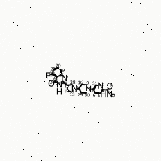 CNC(=O)c1ccc(N2CCC(N3CCC(c4nc5cccc(F)c5c(=O)[nH]4)C3)CC2)cn1